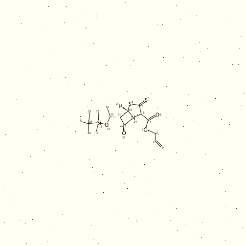 C=CCOC(=O)C1C(=S)S[C@H]2[C@@H](C(C)O[Si](C)(C)C(C)(C)C)C(=O)N12